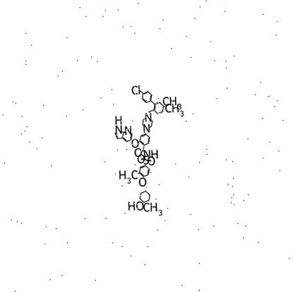 Cc1cc(S(=O)(=O)NC(=O)c2ccc(N3CCN(CC4=C(c5ccc(Cl)cc5)CC(C)(C)CC4)CC3)cc2Oc2cnc3[nH]ccc3c2)ccc1OC[C@H]1CC[C@@](C)(O)CC1